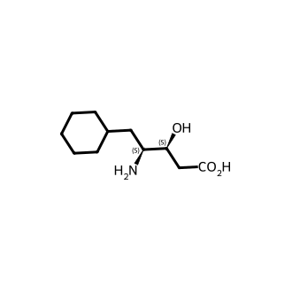 N[C@@H](CC1CCCCC1)[C@@H](O)CC(=O)O